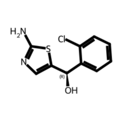 Nc1ncc([C@H](O)c2ccccc2Cl)s1